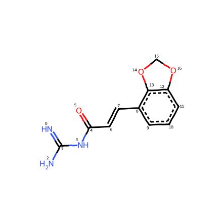 N=C(N)NC(=O)/C=C/c1cccc2c1OCO2